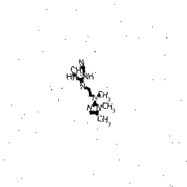 CNC(=NCCN(C)c1ncc(C)n1C)NC#N